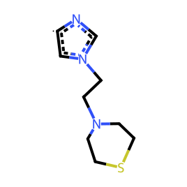 [c]1cn(CCN2CCSCC2)cn1